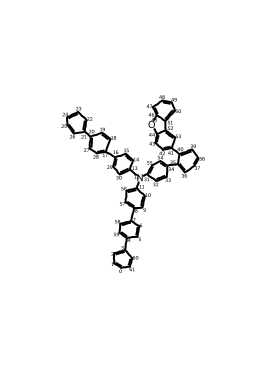 c1ccc(-c2ccc(-c3ccc(N(c4ccc(-c5ccc(-c6ccccc6)cc5)cc4)c4ccc(-c5ccccc5-c5ccc6oc7ccccc7c6c5)cc4)cc3)cc2)cc1